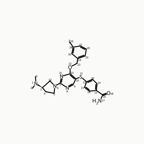 CN(C)[C@@H]1CCN(c2ncc(Sc3ccc(C(N)=O)cc3)c(OCc3cccc(I)c3)n2)C1